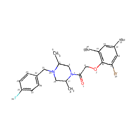 CC1CN(C(=O)COc2c(Br)cc(C(C)(C)C)cc2C(C)(C)C)C(C)CN1Cc1ccc(F)cc1